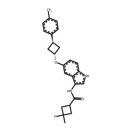 CC1(F)CC(C(=O)Nc2c[nH]c3ccc(O[C@H]4C[C@H](c5ccc(C(F)(F)F)cc5)C4)cc23)C1